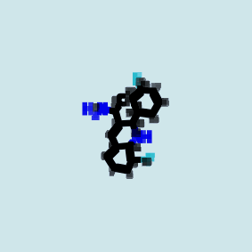 C[C@H](N)C1=Cc2cccc(F)c2NC1c1cccc(F)c1